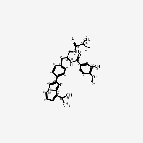 CC(C)Oc1ccc(C(=O)N[C@H](CNC(=O)[C@@H](C)O)Cc2ccc(-c3cn4cccc(C(C)O)c4n3)cc2)cc1C#N